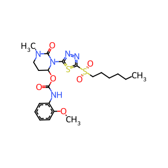 CCCCCCS(=O)(=O)c1nnc(N2C(=O)N(C)CCC2OC(=O)Nc2ccccc2OC)s1